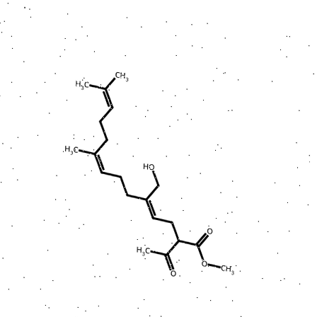 COC(=O)C(CC=C(CO)CCC=C(C)CCC=C(C)C)C(C)=O